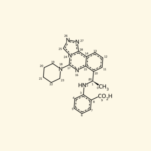 C[C@@H](Nc1ccccc1C(=O)O)c1cccc2c1nc(N1CCCCC1)n1cnnc21